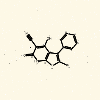 N#Cc1c(O)c2c(-c3ccccc3)c(Br)sc2[nH]c1=O